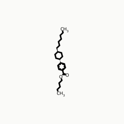 CCCCCCC[C@H]1CC[C@H](c2ccc(C(=O)OCCCCC)cc2)CC1